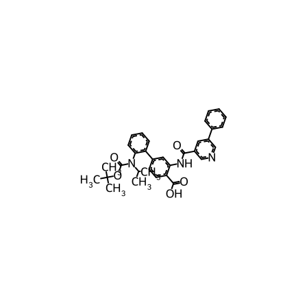 CC(C)N(C(=O)OC(C)(C)C)c1ccccc1-c1ccc(C(=O)O)c(NC(=O)c2cncc(-c3ccccc3)c2)c1